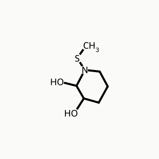 CSN1CCCC(O)C1O